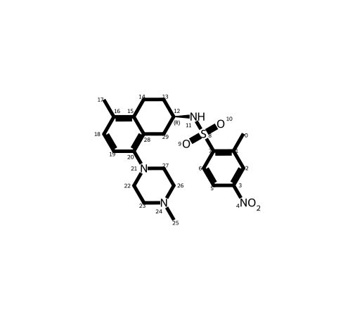 Cc1cc([N+](=O)[O-])ccc1S(=O)(=O)N[C@@H]1CCc2c(C)ccc(N3CCN(C)CC3)c2C1